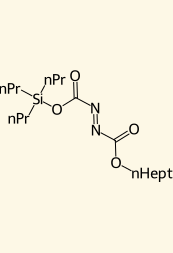 CCCCCCCOC(=O)N=NC(=O)O[Si](CCC)(CCC)CCC